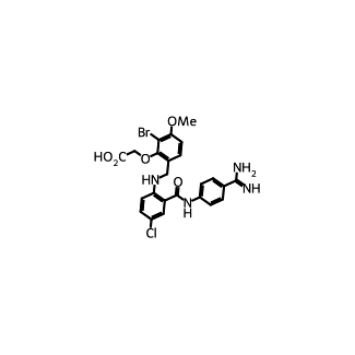 COc1ccc(CNc2ccc(Cl)cc2C(=O)Nc2ccc(C(=N)N)cc2)c(OCC(=O)O)c1Br